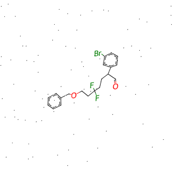 O=CC(CCC(F)(F)CCOCc1ccccc1)c1cccc(Br)c1